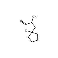 O=C1OC2(CCCC2)CC1O